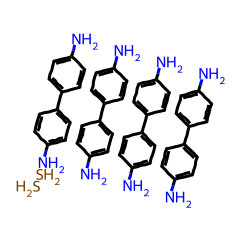 Nc1ccc(-c2ccc(N)cc2)cc1.Nc1ccc(-c2ccc(N)cc2)cc1.Nc1ccc(-c2ccc(N)cc2)cc1.Nc1ccc(-c2ccc(N)cc2)cc1.S.S